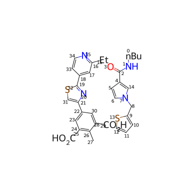 CCCCNC(=O)c1ccn(Cc2cccs2)c1.CCc1cc(-c2nc(-c3cc(C(=O)O)c(C)c(C(=O)O)c3)cs2)ccn1